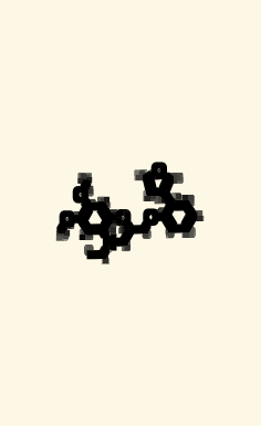 CCN(CC(O)COc1ccccc1-c1ccoc1)c1ccc(OC)c(OC)c1